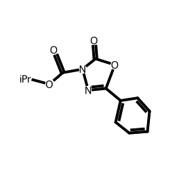 CC(C)OC(=O)n1nc(-c2ccccc2)oc1=O